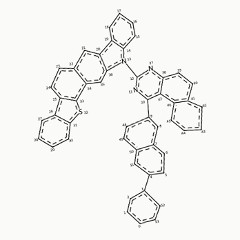 c1ccc(-c2ccc3cc(-c4nc(-n5c6ccccc6c6cc7ccc8c9ccccc9sc8c7cc65)nc5ccc6ccccc6c45)ccc3c2)cc1